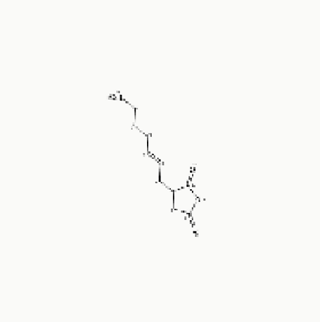 CCCCCCCCCCCC=CCC1CC(=O)OC1=O